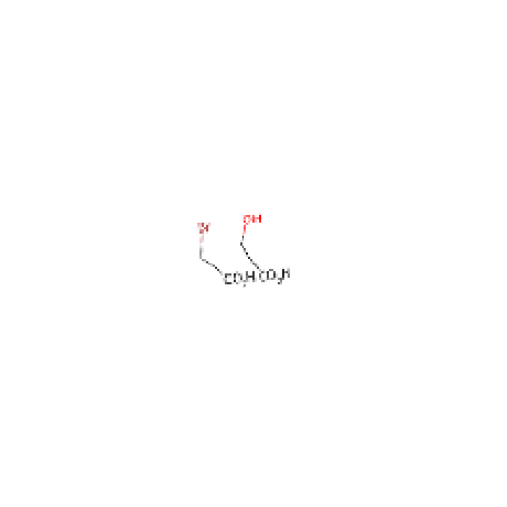 O=C(O)CBr.O=C(O)CO